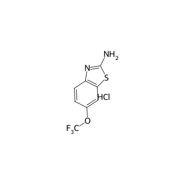 Cl.Nc1nc2ccc(OC(F)(F)F)cc2s1